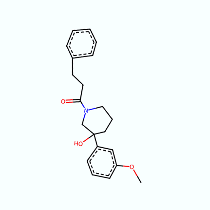 COc1cccc(C2(O)CCCN(C(=O)CCc3ccccc3)C2)c1